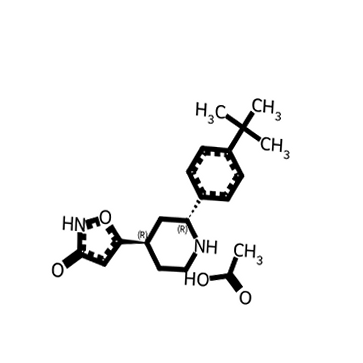 CC(=O)O.CC(C)(C)c1ccc([C@H]2C[C@H](c3cc(=O)[nH]o3)CCN2)cc1